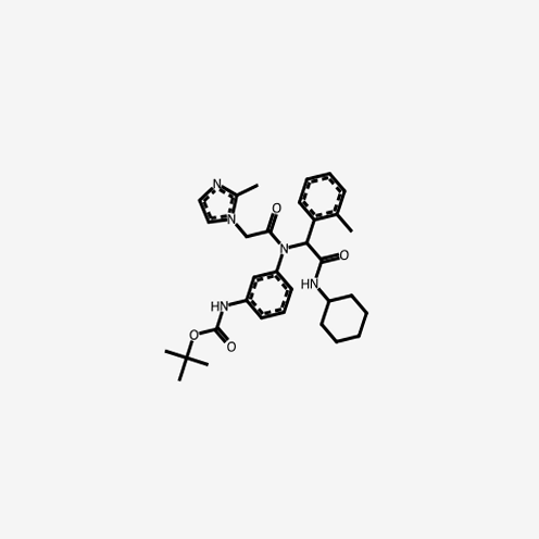 Cc1ccccc1C(C(=O)NC1CCCCC1)N(C(=O)Cn1ccnc1C)c1cccc(NC(=O)OC(C)(C)C)c1